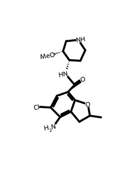 CO[C@@H]1CNCC[C@@H]1NC(=O)c1cc(Cl)c(N)c2c1OC(C)C2